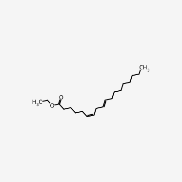 CCCCCCCCC=CC/C=C\CCCCC(=O)OCC